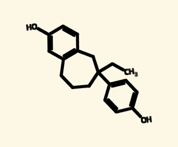 CCC1(c2ccc(O)cc2)CCCc2cc(O)ccc2C1